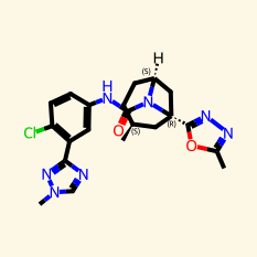 Cc1nnc([C@@]23C[C@@H](C)CC[C@@H](C2)N3C(=O)Nc2ccc(Cl)c(-c3ncn(C)n3)c2)o1